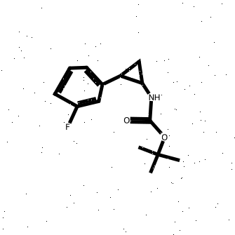 CC(C)(C)OC(=O)NC1CC1c1cccc(F)c1